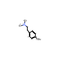 CCN(CC)CCc1ccc(C(C)(C)C)cc1